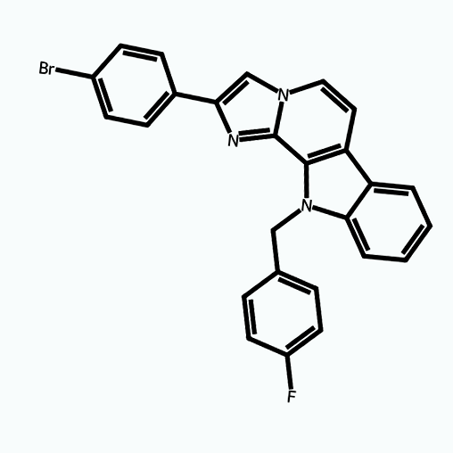 Fc1ccc(Cn2c3ccccc3c3ccn4cc(-c5ccc(Br)cc5)nc4c32)cc1